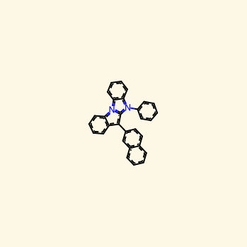 c1ccc(-n2c3ccccc3n3c4ccccc4c(-c4ccc5ccccc5c4)c23)cc1